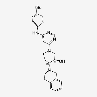 CC(C)(C)c1ccc(Nc2cc(N3CC[C@@H](N4CCc5ccccc5C4)[C@H](O)C3)ncn2)cc1